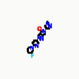 Cn1cc(N2Cc3nn(-c4ccc(N5CCC[C@@H](F)C5)nc4)cc3C2=O)cn1